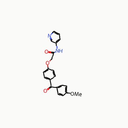 COc1ccc(C(=O)c2ccc(OCC(=O)Nc3cccnc3)cc2)cc1